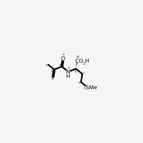 C=C(C)C(=O)N[C@@H](CCSC)C(=O)O